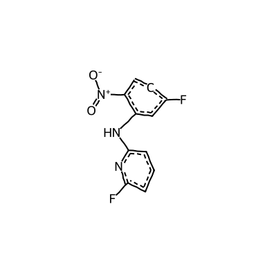 O=[N+]([O-])c1ccc(F)cc1Nc1cccc(F)n1